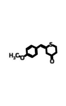 COc1ccc(C=C2CC(=O)CCS2)cc1